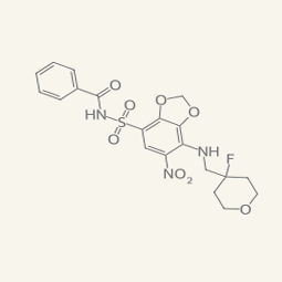 O=C(NS(=O)(=O)c1cc([N+](=O)[O-])c(NCC2(F)CCOCC2)c2c1OCO2)c1ccccc1